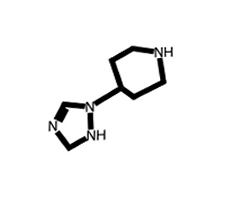 C1=NCNN1C1CCNCC1